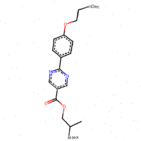 CCCCCCCCCCCCOc1ccc(-c2ncc(C(=O)OCC(C)CCCCCC)cn2)cc1